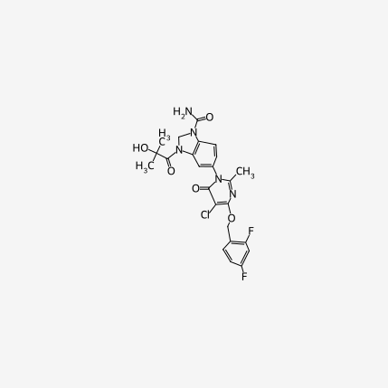 Cc1nc(OCc2ccc(F)cc2F)c(Cl)c(=O)n1-c1ccc2c(c1)N(C(=O)C(C)(C)O)CN2C(N)=O